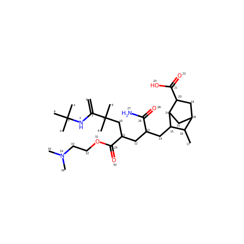 C=C(NC(C)(C)C)C(C)(C)CC(CC(CC1C(C)C2CC(C(=O)O)C1C2)C(N)=O)C(=O)OCCN(C)C